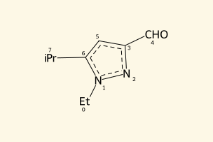 CCn1nc(C=O)cc1C(C)C